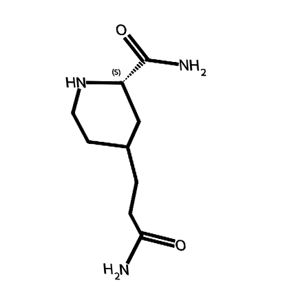 NC(=O)CCC1CCN[C@H](C(N)=O)C1